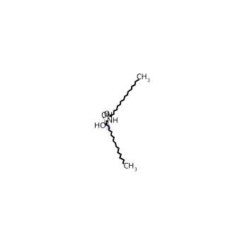 CCCCCCCCCCCCC/C=C/[C@@H](O)[C@H](CO)NC(=O)CCCCCCCCCCCCCCCC